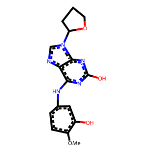 COc1ccc(Nc2nc(O)nc3c2ncn3C2CCCO2)cc1O